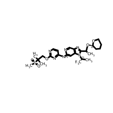 CC(O[C@@H]1CCCCO1)c1nc2cnc(Nc3ccnc(OCC(C)(C)S(C)(=O)=O)n3)cc2n1[C@@H](C)C(F)(F)F